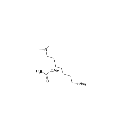 BC(=O)OC.CCCCCCCCCCCCCCCCN(C)C